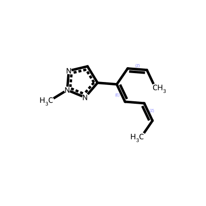 C\C=C/C=C(\C=C/C)c1cnn(C)n1